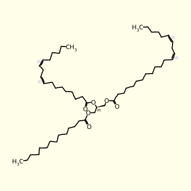 CCCCC/C=C\C/C=C\CCCCCCCCCCCC(=O)OC[C@@H](COC(=O)CCCCCCCCCCCCC)OC(=O)CCCCCCC/C=C\C/C=C\CCCCC